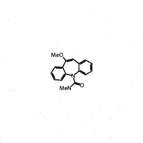 CNC(=O)N1c2ccccc2C=C(OC)c2ccccc21